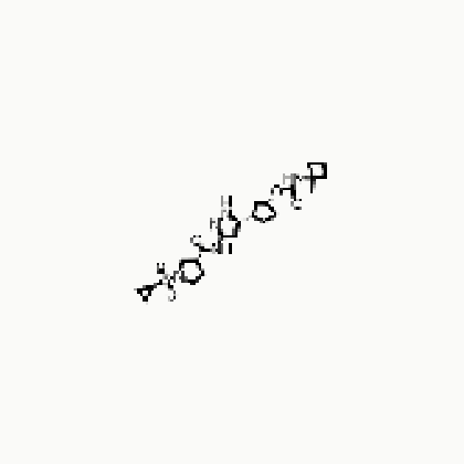 CC1(NC(=O)O[C@@H]2CC[C@H](c3cc(NC(=O)[C@@H]4CCN(S(=O)(=O)C5CC5)C4)n[nH]3)C2)CCC1